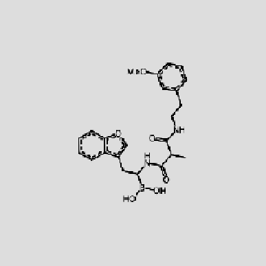 COc1cccc(CCNC(=O)C(C)C(=O)NC(Cc2coc3ccccc23)B(O)O)c1